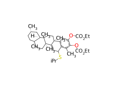 CCOC(=O)Oc1cc2c(c(C)c1OC(=O)OCC)C(SC(C)C)C=C1[C@@]2(C)CC[C@@]2(C)[C@@H]3C[C@@H](C)CC[C@]3(C)CC[C@]12C